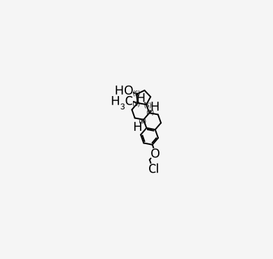 C[C@]12CC[C@@H]3c4ccc(OCCl)cc4CC[C@H]3[C@@H]1CC[C@@H]2O